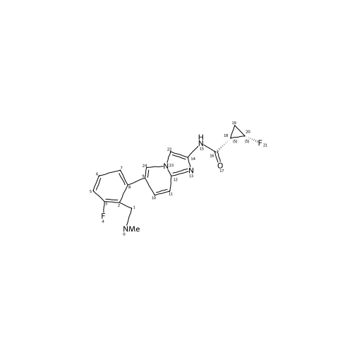 CNCc1c(F)cccc1-c1ccc2nc(NC(=O)[C@@H]3C[C@@H]3F)cn2c1